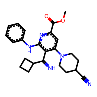 COC(=O)c1cc(N2CCC(C#N)CC2)c(C(=N)C2CCC2)c(Nc2ccccc2)n1